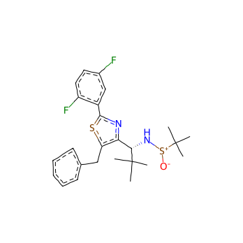 CC(C)(C)[C@@H](N[S+]([O-])C(C)(C)C)c1nc(-c2cc(F)ccc2F)sc1Cc1ccccc1